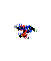 Cc1ncsc1-c1ccc([C@H](C)NC(=O)[C@@H]2C[C@@H](O)CN2C(=O)[C@@H](NC(=O)CC(=O)N2CCN(CC3CCN(CC4(C)CCC(c5ccc(Cl)cc5)=C(CN5CCN(c6ccc(C(=O)NS(=O)(=O)c7ccc(N[C@H](CCN8CCOCC8)CSc8ccccc8)c(S(=O)(=O)C(F)(F)F)c7)cc6)CC5)C4)CC3)CC2)C(C)(C)C)cc1